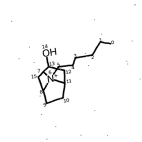 CCCCCC[N+]1(C)C2CCC1CC(O)C2